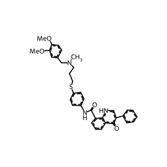 COc1ccc(CN(C)CCCSc2ccc(NC(=O)c3cccc4c(=O)c(-c5ccccc5)c[nH]c34)cc2)cc1OC